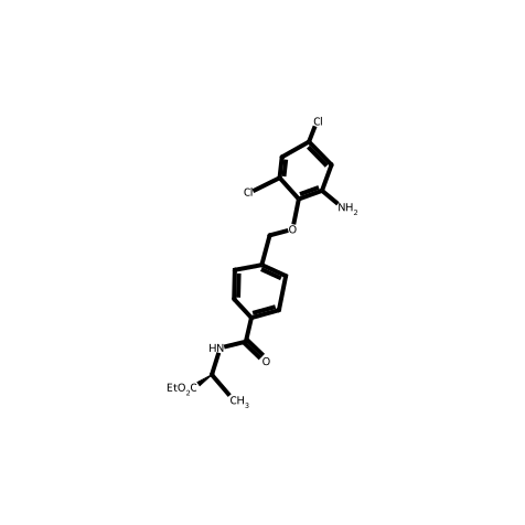 CCOC(=O)[C@H](C)NC(=O)c1ccc(COc2c(N)cc(Cl)cc2Cl)cc1